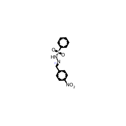 O=[N+]([O-])c1ccc(/C=N/NS(=O)(=O)c2ccccc2)cc1